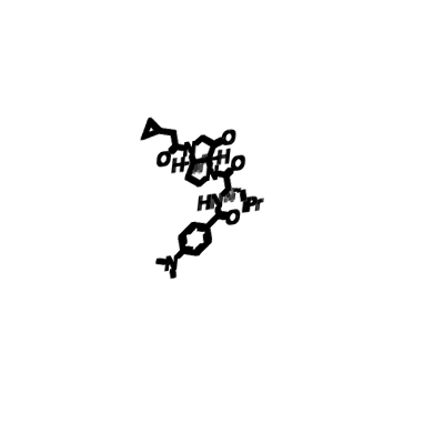 CC(C)C[C@H](NC(=O)c1ccc(N(C)C)cc1)C(=O)N1CC[C@@H]2[C@H]1C(=O)CN2C(=O)CC1CC1